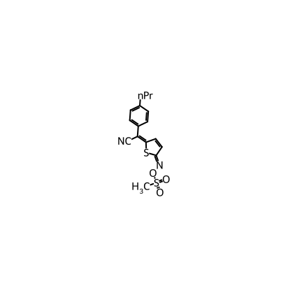 CCCc1ccc(C(C#N)=C2C=CC(=NOS(C)(=O)=O)S2)cc1